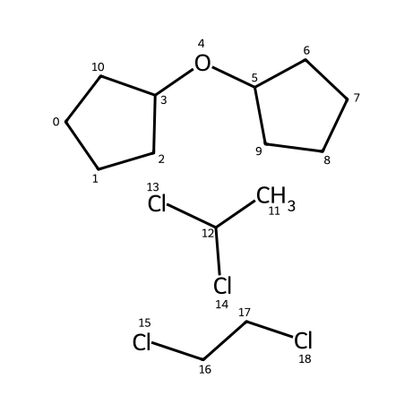 C1CCC(OC2CCCC2)C1.CC(Cl)Cl.ClCCCl